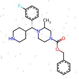 CC1CN(C(=O)OCc2ccccc2)CCN1[C@@H](c1cccc(F)c1)C1CCNCC1